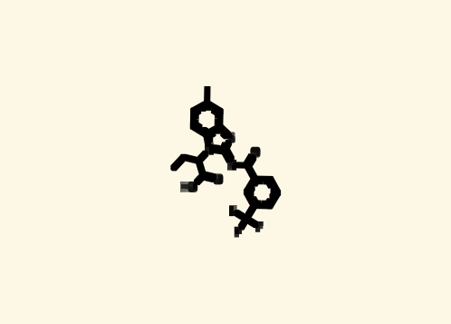 CCC(C(=O)O)n1c(=NC(=O)c2cccc(C(F)(F)F)c2)sc2cc(C)ccc21